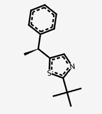 C[C@@H](c1ccccc1)c1cnc(C(C)(C)C)s1